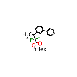 C=C(c1cccc(-c2ccccc2)c1)C(F)(F)C(=O)OCCCCCC